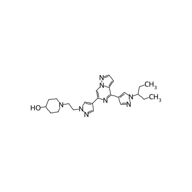 CCC(CC)n1cc(-c2nc(-c3cnn(CCN4CCC(O)CC4)c3)cn3nccc23)cn1